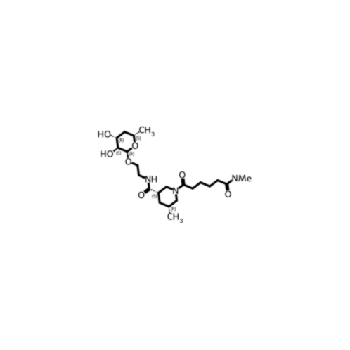 CNC(=O)CCCCC(=O)N1C[C@H](C)C[C@H](C(=O)NCCO[C@@H]2O[C@@H](C)C[C@@H](O)[C@@H]2O)C1